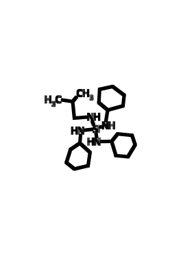 CC(C)CN[Si](NC1CCCCC1)(NC1CCCCC1)NC1CCCCC1